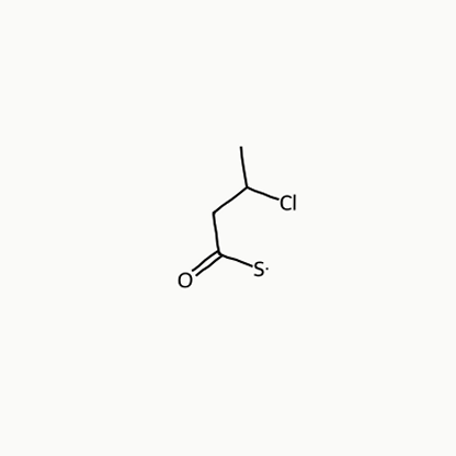 CC(Cl)CC(=O)[S]